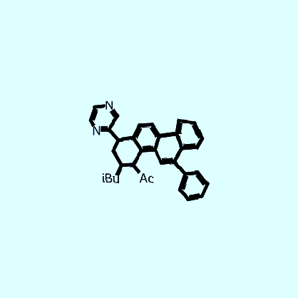 CCC(C)C1CC(c2cnccn2)c2ccc3c(cc(-c4ccccc4)c4ccccc43)c2C1C(C)=O